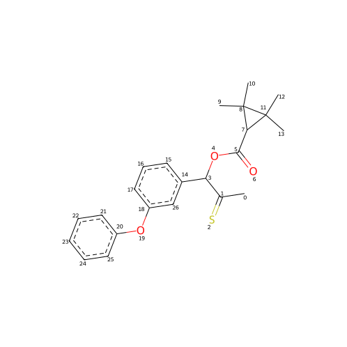 CC(=S)C(OC(=O)C1C(C)(C)C1(C)C)c1cccc(Oc2ccccc2)c1